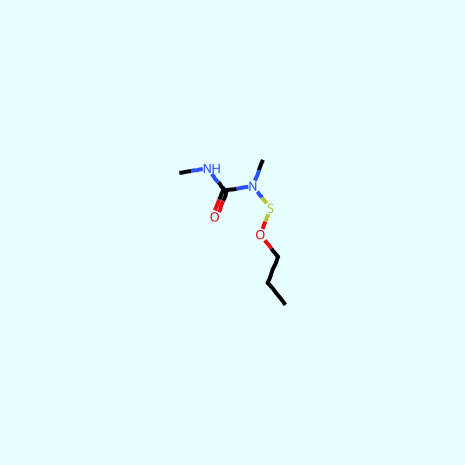 CCCOSN(C)C(=O)NC